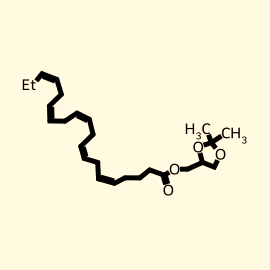 CC/C=C\C/C=C\C/C=C\C/C=C\C/C=C\CCCC(=O)OCC1COC(C)(C)O1